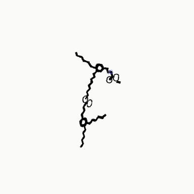 CCCCCCc1ccc(CCCC(=O)OCCCCCCCCc2cc(C/C=C/C(=O)OCC)ccc2CCCCCC)cc1CCCCCC